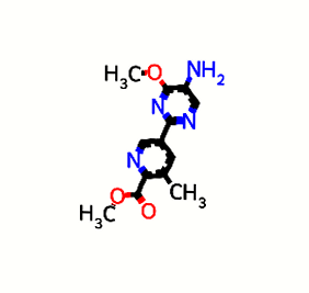 COC(=O)c1ncc(-c2ncc(N)c(OC)n2)cc1C